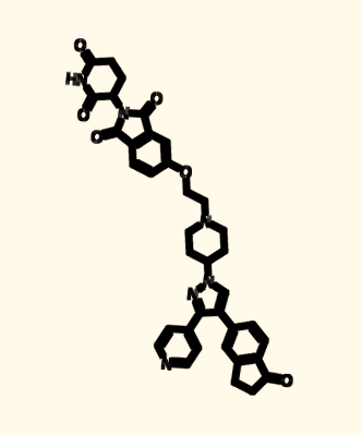 O=C1CCC(N2C(=O)c3ccc(OCCN4CCC(n5cc(-c6ccc7c(c6)CCC7=O)c(-c6ccncc6)n5)CC4)cc3C2=O)C(=O)N1